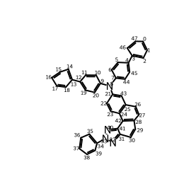 c1ccc(-c2ccc(N(c3ccc(-c4ccccc4)cc3)c3ccc4c(ccc5ccc6nn(-c7ccccc7)nc6c54)c3)cc2)cc1